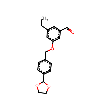 CCc1cc(C=O)cc(OCc2ccc(C3OCCO3)cc2)c1